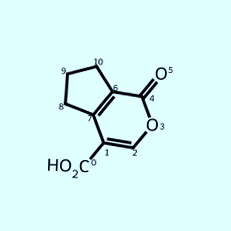 O=C(O)c1coc(=O)c2c1CCC2